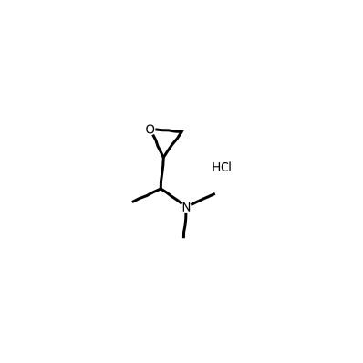 CC(C1CO1)N(C)C.Cl